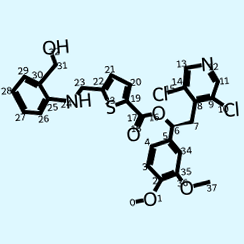 COc1ccc([C@H](Cc2c(Cl)cncc2Cl)OC(=O)c2ccc(CNc3ccccc3CO)s2)cc1OC